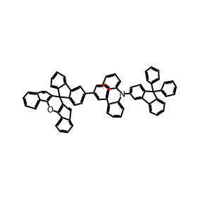 c1ccc(N(c2ccc3c(c2)-c2ccccc2C3(c2ccccc2)c2ccccc2)c2ccccc2-c2cccc(-c3ccc4c(c3)-c3ccccc3C43c4ccc5ccccc5c4Oc4c3ccc3ccccc43)c2)cc1